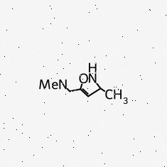 CNCC1=CC(C)NO1